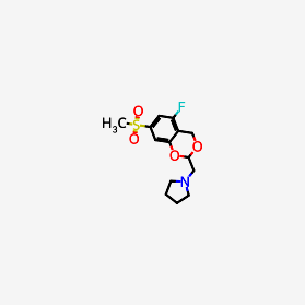 CS(=O)(=O)c1cc(F)c2c(c1)OC(CN1CCCC1)OC2